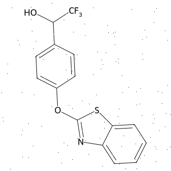 OC(c1ccc(Oc2nc3ccccc3s2)cc1)C(F)(F)F